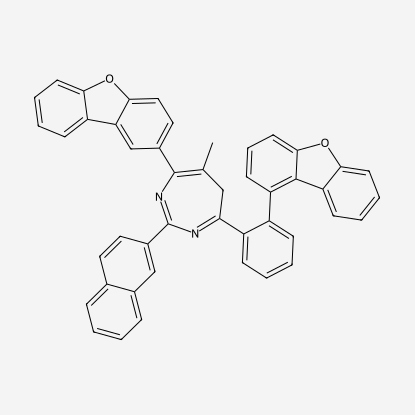 CC1=C(c2ccc3oc4ccccc4c3c2)N=C(c2ccc3ccccc3c2)N=C(c2ccccc2-c2cccc3oc4ccccc4c23)C1